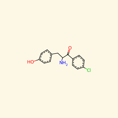 NC(Cc1ccc(O)cc1)C(=O)c1ccc(Cl)cc1